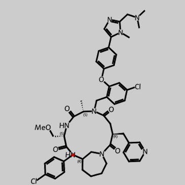 COC[C@@H]1NC(=O)[C@H](C)N(Cc2ccc(Cl)cc2Oc2ccc(-c3cnc(CN(C)C)n3C)cc2)C(=O)C[C@@H](Cc2cccnc2)C(=O)N2CCCC[C@@](Cc3ccc(Cl)cc3)(C2)NC1=O